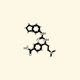 CN(C)CCC(NC(=O)Nc1ccc2c(c1)CCC2)c1ccc(C(=O)O)cc1